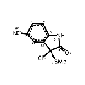 CSC1(Cl)C(=O)Nc2ccc(C#N)cc21